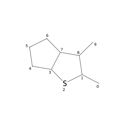 CC1SC2CCCC2C1C